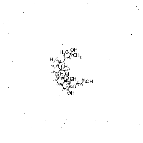 C[C@H](CCCC(C)(C)O)[C@H]1CCC2C3=CC=C4C[C@@H](O)[C@@H](OCCCO)[C@@H](C)[C@@]4(O)[C@@H]3CC[C@@]21C